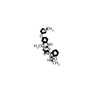 CNS(=O)(=O)c1ccccc1Nc1nc(Nc2ccc(O[C@@H]3CCN(C)C3)cc2OC)ncc1I